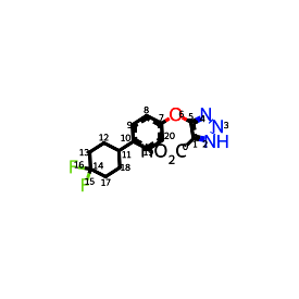 O=C(O)c1[nH]nnc1Oc1ccc(C2CCC(F)(F)CC2)cc1